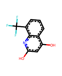 Oc1cc(O)c2cccc(C(F)(F)F)c2n1